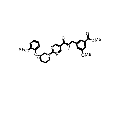 CCOc1ccccc1O[C@@H]1CCCN(c2ncc(C(=O)NCc3cc(OC)cc(C(=O)OC)c3)cn2)C1